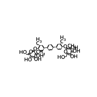 Cc1cc(-c2ccc(-c3ccc(O[C@H]4O[C@H](CO)[C@@H](O)[C@H](O)[C@]4(C)O)c(C)c3)cc2)ccc1O[C@H]1O[C@H](CO)[C@@H](O)[C@H](O)[C@]1(C)O